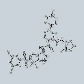 CN1CCN(c2ccc(C(=O)Nc3n[nH]c4c3CN(S(=O)(=O)c3cc(F)cc(F)c3)C4(C)C)c(NC[C@H]3CCCN3C)c2)CC1